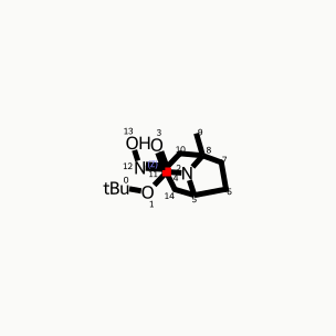 CC(C)(C)OC(=O)N1C2CCC1(C)C/C(=N\O)C2